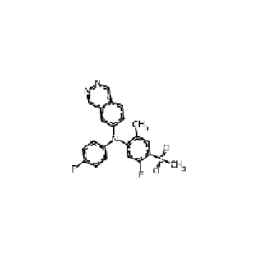 Cc1cc(S(C)(=O)=O)c(F)cc1N(c1ccc(F)cc1)c1ccc2cnncc2c1